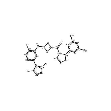 Cc1nnn(C)c1-c1cc(OC2CN(C(=O)N3N=CCC3c3cc(F)cc(F)c3)C2)c(F)cn1